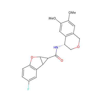 COc1cc2c(cc1OC)[C@@H](NC(=O)C1C3Oc4ccc(F)cc4C31)COC2